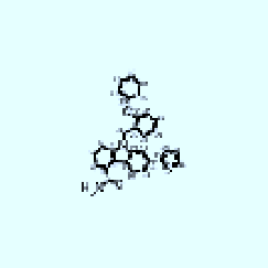 NC(=O)c1cccc2c1c1[c]cc(-c3cccs3)cc1n2Cc1ccccc1Oc1ccccc1